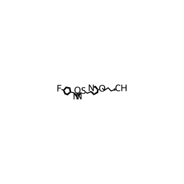 C#CCCCOc1ccc(CSc2nnc(-c3ccc(F)cc3)o2)nc1